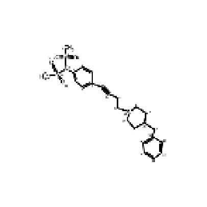 CS(=O)(=O)N(c1ccc(C#CCCN2CCC(Cc3ccccc3)CC2)cc1)S(C)(=O)=O